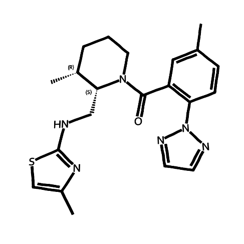 Cc1ccc(-n2nccn2)c(C(=O)N2CCC[C@@H](C)[C@H]2CNc2nc(C)cs2)c1